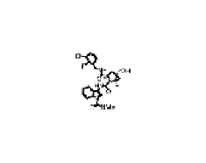 CNC(=O)n1cc(NC(=O)N2[C@H](C(=O)NCc3cccc(Cl)c3F)C[C@@]3(CO)C[C@@H]23)c2ccccc21